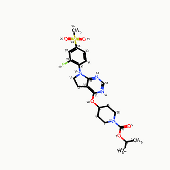 CC(C)OC(=O)N1CCC(Oc2ncnc3c2CCN3c2ccc(S(C)(=O)=O)cc2F)CC1